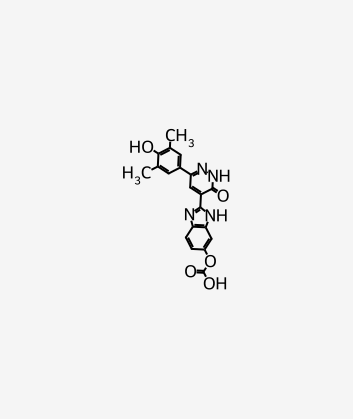 Cc1cc(-c2cc(-c3nc4ccc(OC(=O)O)cc4[nH]3)c(=O)[nH]n2)cc(C)c1O